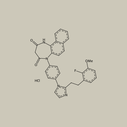 COc1cccc(CCc2nccn2-c2ccc(N3C(=O)CC(=O)Nc4c3ccc3ccccc43)cc2)c1F.Cl